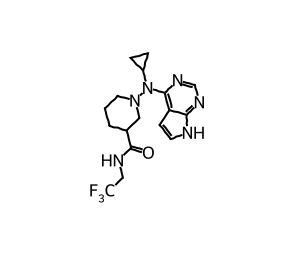 O=C(NCC(F)(F)F)C1CCCN(N(c2ncnc3[nH]ccc23)C2CC2)C1